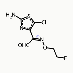 Nc1nc(/C(C=O)=N/OCCF)c(Cl)s1